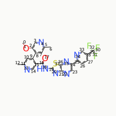 COc1cnc(C)cc1-c1cc(C)ncc1C(=O)Nc1nc2ncc(-c3ccc(C(F)(F)F)cn3)nc2s1